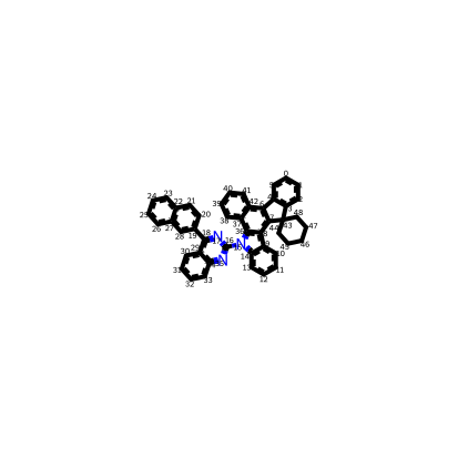 c1ccc2c(c1)-c1c(c3c4ccccc4n(-c4nc(-c5ccc6ccccc6c5)c5ccccc5n4)c3c3ccccc13)C21CCCCC1